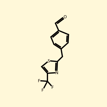 O=Cc1ccc(Cc2nc(C(F)(F)F)cs2)cc1